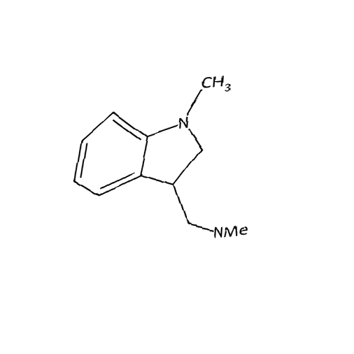 CNCC1CN(C)c2ccccc21